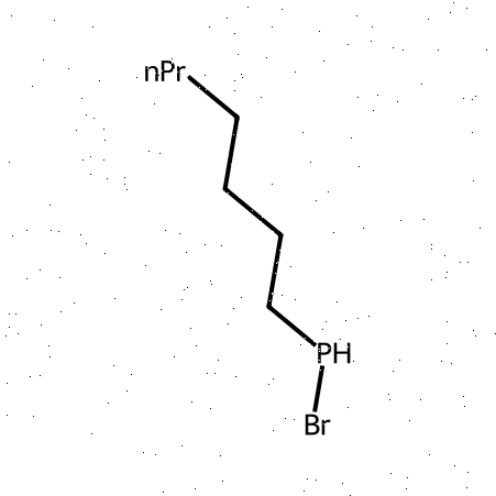 CCCCCCCPBr